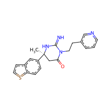 C[C@@]1(c2ccc3sccc3c2)CC(=O)N(CCc2cccnc2)C(=N)N1